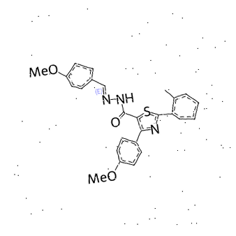 COc1ccc(/C=N/NC(=O)c2sc(-c3ccccc3C)nc2-c2ccc(OC)cc2)cc1